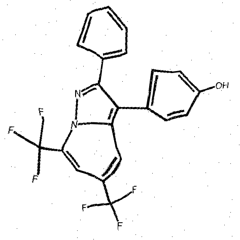 Oc1ccc(-c2c(-c3ccccc3)nn3c(C(F)(F)F)cc(C(F)(F)F)cc23)cc1